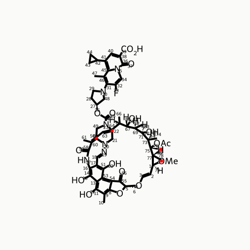 CO[C@H]1/C=C/O[C@@]2(C)Oc3c(C)c(O)c4c(O)c(c(/C=N/N5CCN(C(=O)O[C@H]6CCN(c7c(F)cn8c(=O)c(C(=O)O)cc(C9CC9)c8c7C)C6)CC5)c(O)c4c3C2=O)NC(=O)/C(C)=C\C=C\[C@H](C)[C@H](O)[C@@H](C)[C@@H](O)[C@@H](C)[C@H](OC(C)=O)[C@@H]1C